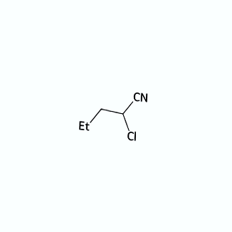 CCCC(Cl)C#N